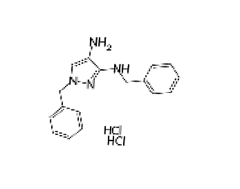 Cl.Cl.Nc1cn(Cc2ccccc2)nc1NCc1ccccc1